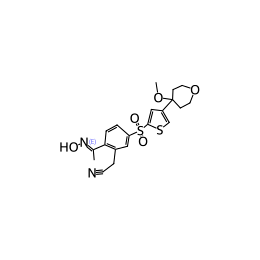 COC1(c2csc(S(=O)(=O)c3ccc(/C(C)=N/O)c(CC#N)c3)c2)CCOCC1